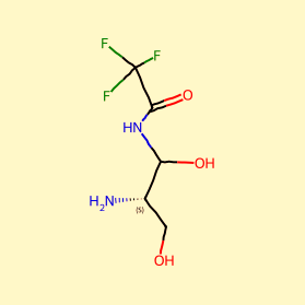 N[C@@H](CO)C(O)NC(=O)C(F)(F)F